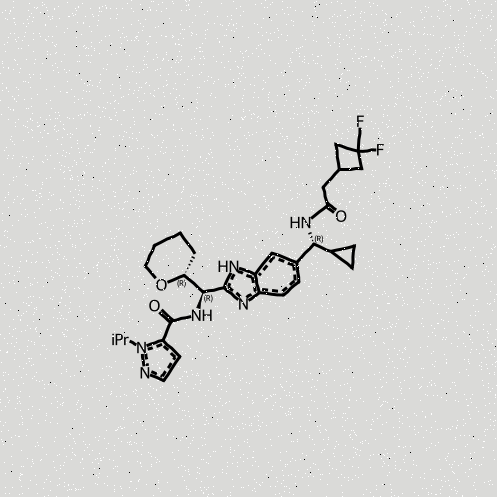 CC(C)n1nccc1C(=O)N[C@H](c1nc2ccc([C@H](NC(=O)CC3CC(F)(F)C3)C3CC3)cc2[nH]1)[C@H]1CCCCO1